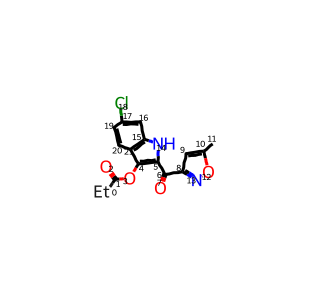 CCC(=O)Oc1c(C(=O)c2cc(C)on2)[nH]c2cc(Cl)ccc12